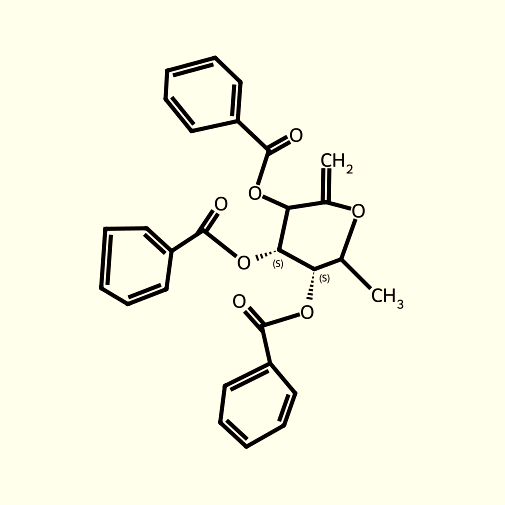 C=C1OC(C)[C@H](OC(=O)c2ccccc2)[C@H](OC(=O)c2ccccc2)C1OC(=O)c1ccccc1